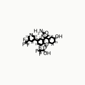 NC1=NC2(CO1)c1cc(-c3cncc(C(F)(F)F)c3)ccc1OC1CCC(O)CC12.O=C(O)C(F)(F)F